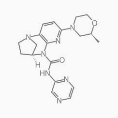 C[C@H]1CN(c2ccc3c(n2)N(C(=O)Nc2cnccn2)[C@H]2CCN3C2)CCO1